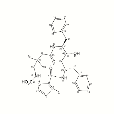 Cc1ccsc1C(=O)N[C@@H](Cc1ccccc1)C[C@@H](O)[C@H](Cc1ccccc1)NC(=O)CC(C)(C)CNC(=O)O